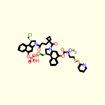 CN(CCSSc1ccccn1)C(=O)Oc1cc2c(c3ccccc13)[C@H](CCl)CN2C(=O)C1(CCC(=O)N2C[C@@H](CCl)c3c2cc(OP(=O)(O)O)c2ccccc32)CCC1